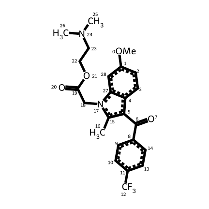 COc1ccc2c(C(=O)c3ccc(C(F)(F)F)cc3)c(C)n(CC(=O)OCCN(C)C)c2c1